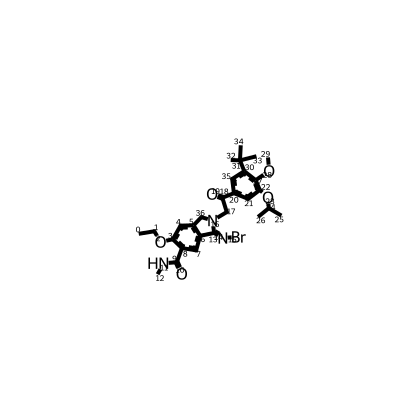 CCOc1cc2c(cc1C(=O)NC)/C(=N/Br)N(CC(=O)c1cc(OC(C)C)c(OC)c(C(C)(C)C)c1)C2